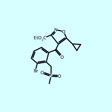 CCOC(=O)c1noc(C2CC2)c1C(=O)c1cccc(Br)c1CS(C)(=O)=O